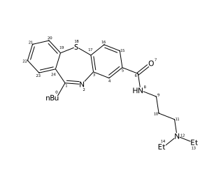 CCCCC1=Nc2cc(C(=O)NCCCN(CC)CC)ccc2Sc2ccccc21